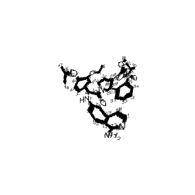 CCOc1cc([C@@H](Nc2ccc3c(N)nccc3c2)C(=O)N2CC[C@@H](C(=O)OC)[C@H]2c2ccccc2S(=O)(=O)C(C)C)ccc1OC(C)C